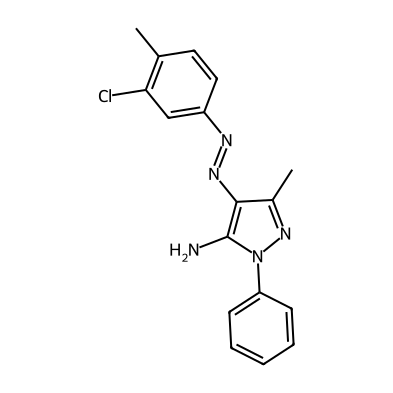 Cc1ccc(N=Nc2c(C)nn(-c3ccccc3)c2N)cc1Cl